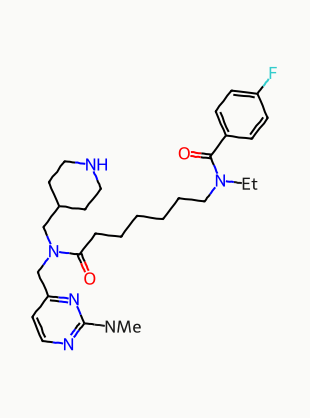 CCN(CCCCCCC(=O)N(Cc1ccnc(NC)n1)CC1CCNCC1)C(=O)c1ccc(F)cc1